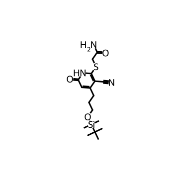 CC(C)(C)[Si](C)(C)OCCCc1cc(=O)[nH]c(SCC(N)=O)c1C#N